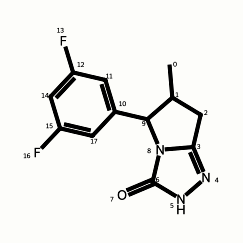 CC1Cc2n[nH]c(=O)n2C1c1cc(F)cc(F)c1